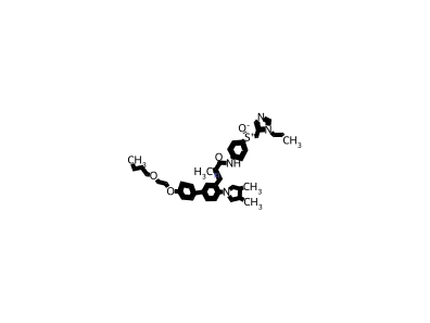 CCCCOCCOc1ccc(-c2ccc(N3CC(C)C(C)C3)c(/C=C(\C)C(=O)Nc3ccc([S+]([O-])Cc4cncn4CCC)cc3)c2)cc1